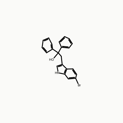 OC(Cc1c[nH]c2cc(Br)ccc12)(c1ccccc1)c1ccccc1